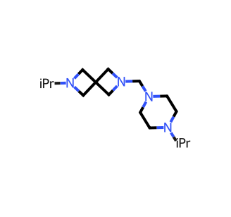 CC(C)N1CCN(CN2CC3(C2)CN(C(C)C)C3)CC1